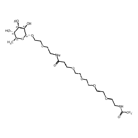 [CH2]C(=O)NCCOCCOCCOCCOCCC(=O)NCCOCCO[C@@H]1O[C@@H](C)[C@H](O)[C@@H](O)[C@H]1O